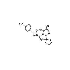 COc1c(C#N)ccc(C2(F)CCCC2)c1C(=O)N1CC(c2ccc(C(F)(F)F)cc2)C1